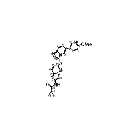 COc1ccc(-c2ccc3nnc(Sc4ccc5nc(NC(=O)C6CC6)cn5n4)n3c2)cn1